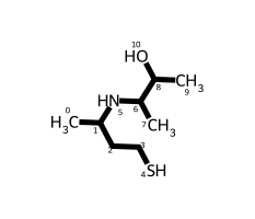 CC(CCS)NC(C)C(C)O